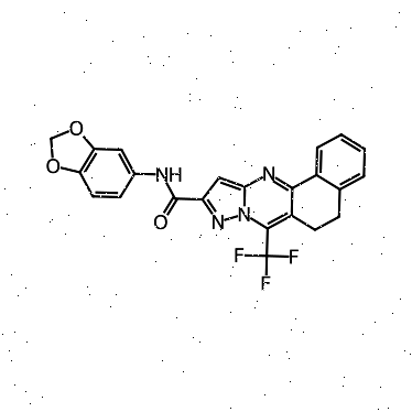 O=C(Nc1ccc2c(c1)OCO2)c1cc2nc3c(c(C(F)(F)F)n2n1)CCc1ccccc1-3